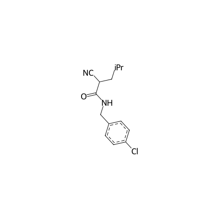 CC(C)CC(C#N)C(=O)NCc1ccc(Cl)cc1